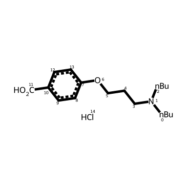 CCCCN(CCCC)CCCOc1ccc(C(=O)O)cc1.Cl